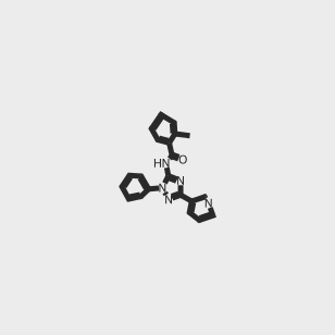 Cc1ccccc1C(=O)Nc1nc(-c2cccnc2)nn1-c1ccccc1